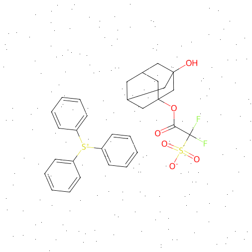 O=C(OC12CC3CC(CC(O)(C3)C1)C2)C(F)(F)S(=O)(=O)[O-].c1ccc([S+](c2ccccc2)c2ccccc2)cc1